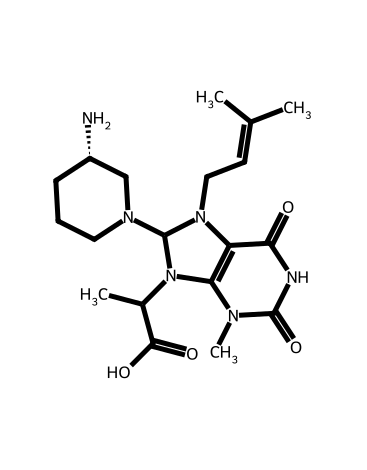 CC(C)=CCN1c2c(n(C)c(=O)[nH]c2=O)N(C(C)C(=O)O)C1N1CCC[C@H](N)C1